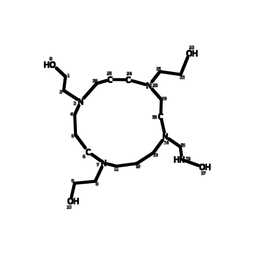 OCCN1CCCN(CCO)CCCN(CNO)CCN(CCO)CCC1